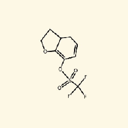 O=S(=O)(OC1=C2OCCC2CC=C1)C(F)(F)F